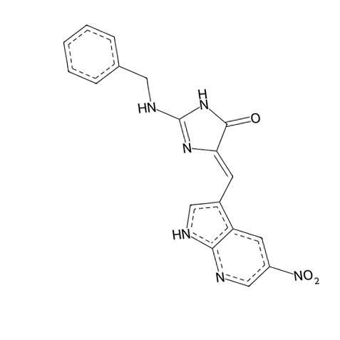 O=C1NC(NCc2ccccc2)=N/C1=C\c1c[nH]c2ncc([N+](=O)[O-])cc12